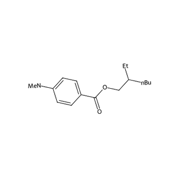 CCCCC(CC)COC(=O)c1ccc(NC)cc1